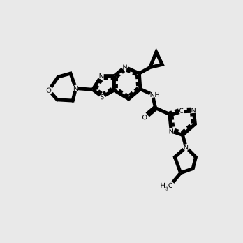 CC1CCN(c2cncc(C(=O)Nc3cc4sc(N5CCOCC5)nc4nc3C3CC3)n2)C1